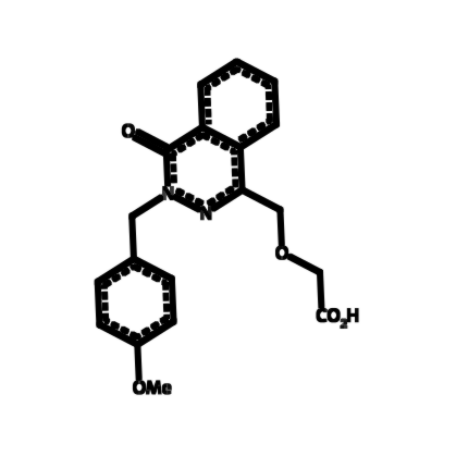 COc1ccc(Cn2nc(COCC(=O)O)c3ccccc3c2=O)cc1